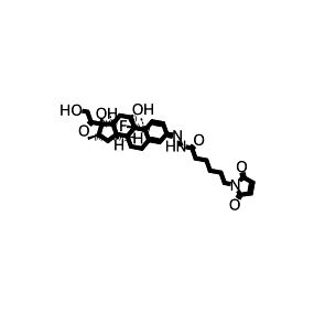 C[C@@H]1C[C@H]2[C@@H]3CCC4=CC(=NNC(=O)CCCCCN5C(=O)C=CC5=O)C=C[C@]4(C)[C@@]3(F)[C@@H](O)C[C@]2(C)[C@@]1(O)C(=O)CO